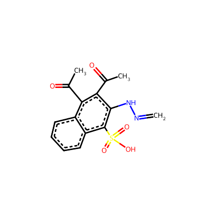 C=NNc1c(C(C)=O)c(C(C)=O)c2ccccc2c1S(=O)(=O)O